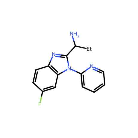 CCC(N)c1nc2ccc(F)cc2n1-c1ccccn1